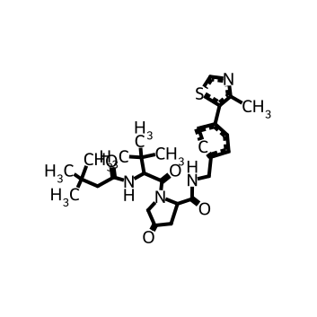 Cc1ncsc1-c1ccc(CNC(=O)C2CC(=O)CN2C(=O)C(NC(=O)CC(C)(C)C)C(C)(C)C)cc1